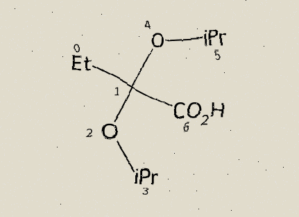 CCC(OC(C)C)(OC(C)C)C(=O)O